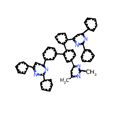 Cc1cc(-c2ccc(-c3ccccc3-c3cc(-c4ccccc4)nc(-c4ccccc4)n3)c(-c3cccc(-c4cc(-c5ccccc5)nc(-c5ccccc5)n4)c3)c2)nc(C)n1